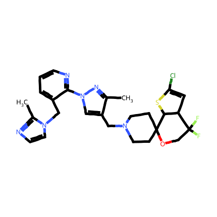 Cc1nn(-c2ncccc2Cn2ccnc2C)cc1CN1CCC2(CC1)OCC(F)(F)C1C=C(Cl)SC12